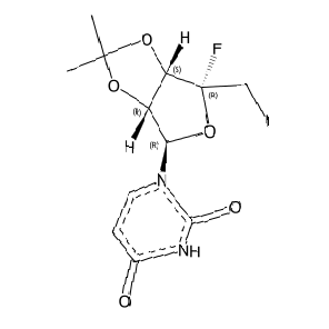 CC1(C)O[C@H]2[C@H](n3ccc(=O)[nH]c3=O)O[C@](F)(CI)[C@H]2O1